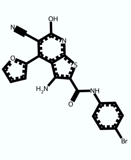 N#Cc1c(O)nc2sc(C(=O)Nc3ccc(Br)cc3)c(N)c2c1-c1ccco1